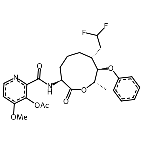 COc1ccnc(C(=O)N[C@H]2CCC[C@H](CC(F)F)[C@@H](Oc3ccccc3)[C@H](C)OC2=O)c1OC(C)=O